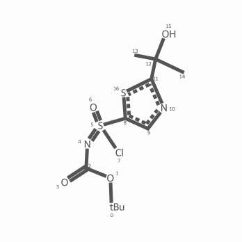 CC(C)(C)OC(=O)N=S(=O)(Cl)c1cnc(C(C)(C)O)s1